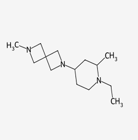 CCN1CCC(N2CC3(CN(C)C3)C2)CC1C